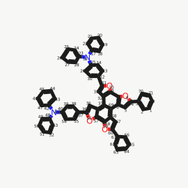 c1ccc(-c2cc3c(o2)c2oc(-c4ccc(N(c5ccccc5)c5ccccc5)cc4)cc2c2c4cc(-c5ccc(N(c6ccccc6)c6ccccc6)cc5)oc4c4oc(-c5ccccc5)cc4c32)cc1